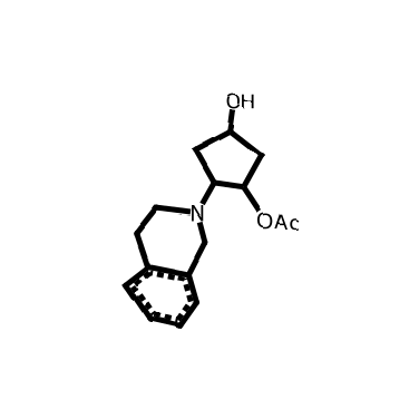 CC(=O)OC1CC(O)CC1N1CCc2ccccc2C1